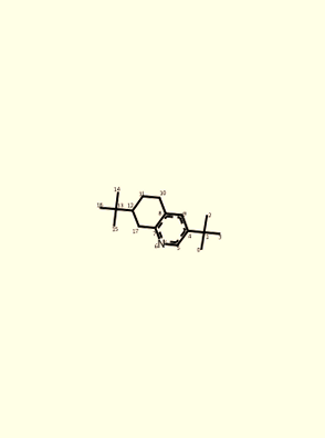 CC(C)(C)c1cnc2c(c1)CCC(C(C)(C)C)C2